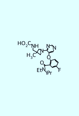 CCN(C(=O)c1cc(F)ccc1Oc1cncnc1N1CC(C)(CNC(=O)O)C1)C(C)C